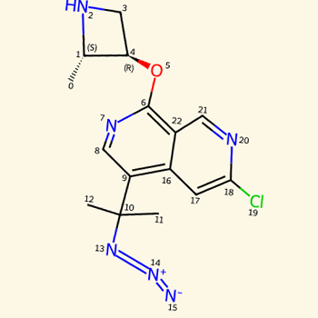 C[C@@H]1NC[C@H]1Oc1ncc(C(C)(C)N=[N+]=[N-])c2cc(Cl)ncc12